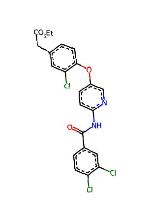 CCOC(=O)Cc1ccc(Oc2ccc(NC(=O)c3ccc(Cl)c(Cl)c3)nc2)c(Cl)c1